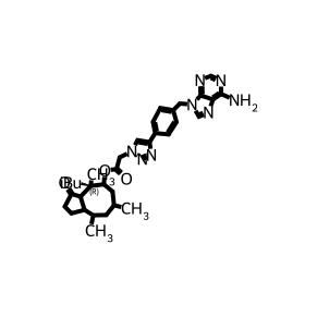 CCC(C)[C@@]1(C)C(OC(=O)Cn2cc(-c3ccc(Cn4cnc5c(N)ncnc54)cc3)nn2)CC(C)CC(C)C2CCC(=O)C21